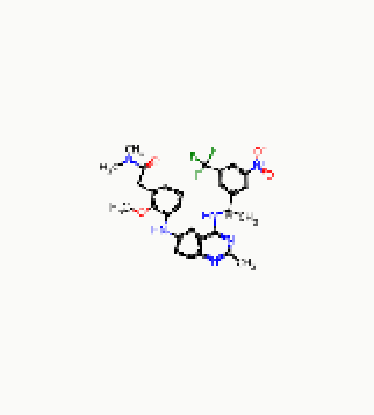 COc1c(CC(=O)N(C)C)cccc1Nc1ccc2nc(C)nc(N[C@H](C)c3cc([N+](=O)[O-])cc(C(F)(F)F)c3)c2c1